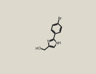 OCc1c[nH]c(-c2ccc(Br)cc2)n1